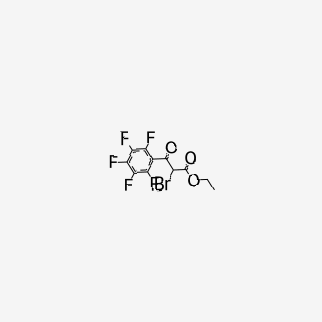 CCOC(=O)C(Br)C(=O)c1c(F)c(F)c(F)c(F)c1F